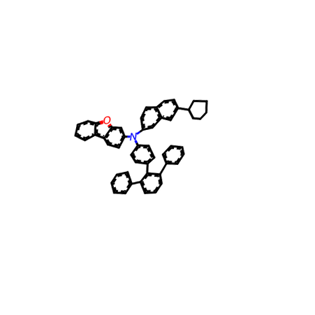 c1ccc(-c2cccc(-c3ccccc3)c2-c2ccc(N(c3ccc4ccc(C5CCCCC5)cc4c3)c3ccc4c(c3)oc3ccccc34)cc2)cc1